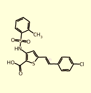 Cc1ccccc1S(=O)(=O)Nc1cc(/C=C/c2ccc(Cl)cc2)sc1C(=O)O